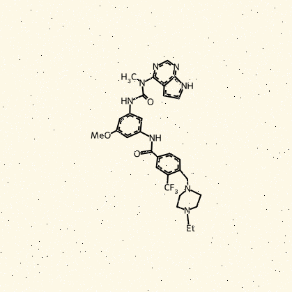 CCN1CCN(Cc2ccc(C(=O)Nc3cc(NC(=O)N(C)c4ncnc5[nH]ccc45)cc(OC)c3)cc2C(F)(F)F)CC1